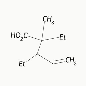 C=CC(CC)C(C)(CC)C(=O)O